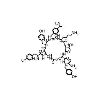 CC(O)C1NC(=O)[C@H](CCCCN)NC(=O)[C@@H](Cc2ccc(C(N)=O)cc2)NC(=O)[C@H](Cc2ccc(O)cc2)NC(=O)[C@@H](NC(=O)[C@@H](N)Cc2ccc(Cl)cc2)CNC(=O)SC[C@@H](C(=O)N[C@H](Cc2ccc(O)cc2)C(N)=O)NC1=O